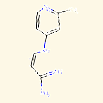 Cc1cc(N/C=C\C(=N)N)ccn1